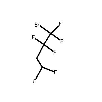 FC(F)CC(F)(F)C(F)(F)Br